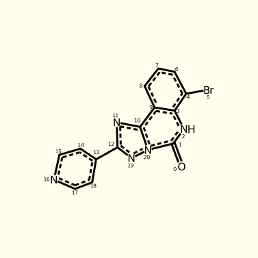 O=c1[nH]c2c(Br)cccc2c2nc(-c3ccncc3)nn12